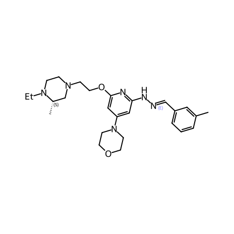 CCN1CCN(CCOc2cc(N3CCOCC3)cc(N/N=C/c3cccc(C)c3)n2)C[C@@H]1C